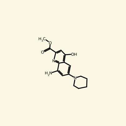 COC(=O)c1cc(O)c2cc(N3CCCCC3)cc(N)c2n1